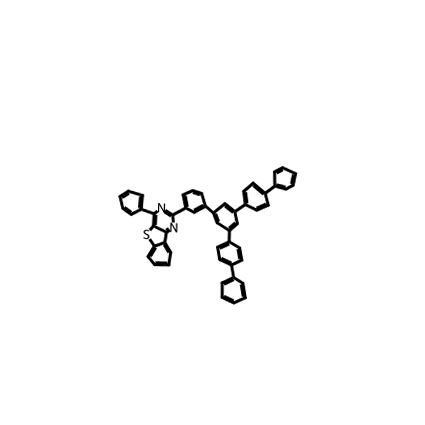 c1ccc(-c2ccc(-c3cc(-c4ccc(-c5ccccc5)cc4)cc(-c4cccc(-c5nc(-c6ccccc6)c6sc7ccccc7c6n5)c4)c3)cc2)cc1